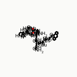 CCC(C)[C@H](NC(=O)CNC(=O)CNC(=O)CCC(=O)N1Cc2ccccc2C#Cc2ccccc21)C(=O)N[C@@H](CCCNC(N)=O)C(=O)NCCNc1nc(N)c2ncn([C@@H]3O[C@@H]4COP(=O)(S)O[C@H]5[C@@H](O)[C@H](n6cc7c8c(ncnc86)NCCC7)O[C@@H]5COP(=O)(S)O[C@@H]3[C@@H]4O)c2n1